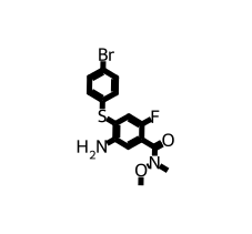 CON(C)C(=O)c1cc(N)c(Sc2ccc(Br)cc2)cc1F